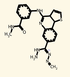 C=N/N=C(\NN)c1ccc2c(c1)N=C(Nc1cccc(C(=O)NC)c1)C1C=CSC21